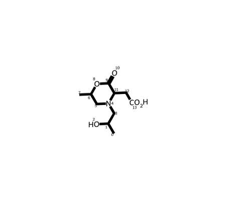 CC(O)CN1CC(C)OC(=O)C1CC(=O)O